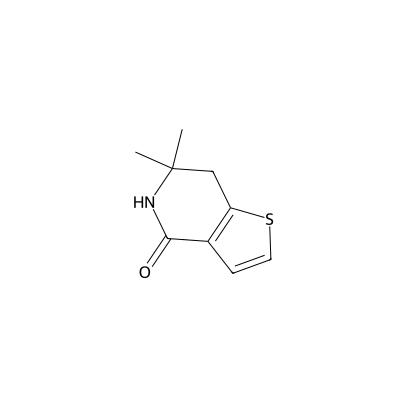 CC1(C)Cc2sccc2C(=O)N1